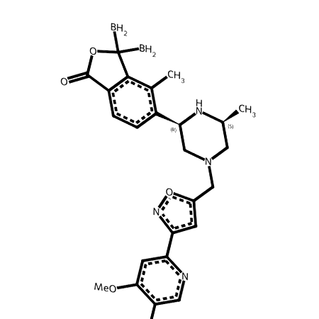 BC1(B)OC(=O)c2ccc([C@@H]3CN(Cc4cc(-c5cc(OC)c(C#N)cn5)no4)C[C@H](C)N3)c(C)c21